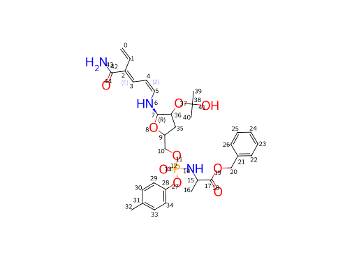 C=C/C(=C\C=C/N[C@@H]1OC(COP(=O)(NC(C)C(=O)OCc2ccccc2)Oc2ccc(C)cc2)CC1OC(C)(C)O)C(N)=O